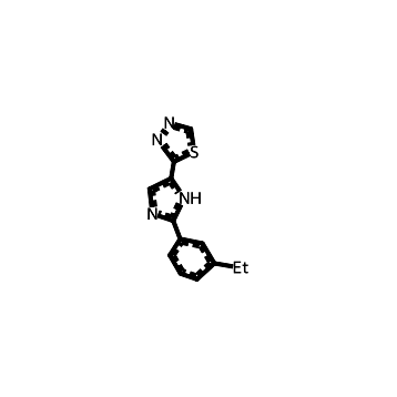 CCc1cccc(-c2ncc(-c3nncs3)[nH]2)c1